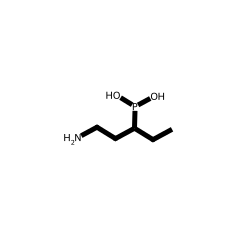 CCC(CCN)P(O)O